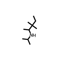 CCC(C)(C)C(C)NC(C)C